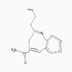 NC(=O)C1=Cc2ccccc2N=C(CCO)C1